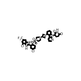 O=C1CCC(n2c3cccc(N4CC(N5CCN(S(=O)(=O)Nc6ccc(Cl)cc6-c6nc7cc(C(F)(F)F)cc(Cl)c7[nH]6)CC5)C4)c3c3cccnc32)C(=O)N1